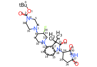 CC(C)(C)OC(=O)N1CCN([C@@H]2CCN(c3cccc4c3C(C)(C)C(=O)N4C3CCC(=O)NC3=O)C[C@@H]2F)CC1